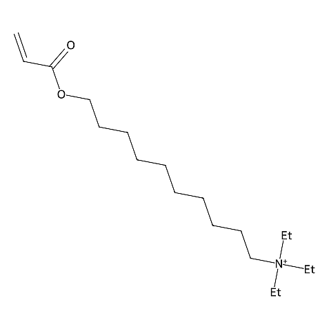 C=CC(=O)OCCCCCCCCCC[N+](CC)(CC)CC